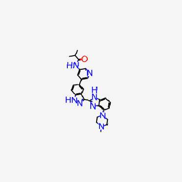 CC(C)C(=O)Nc1cncc(-c2ccc3[nH]nc(-c4nc5c(N6CCN(C)CC6)cccc5[nH]4)c3c2)c1